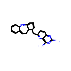 Nc1nc(N)c2nc(CC3C=CC=C4NC5C=CC=CC5=CCC43)ccc2n1